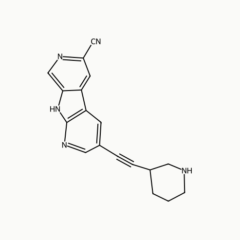 N#Cc1cc2c(cn1)[nH]c1ncc(C#CC3CCCNC3)cc12